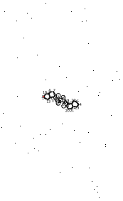 O=S(=O)(c1nc2c(ccc3ccccc32)o1)c1nc2c(ccc3ccccc32)o1